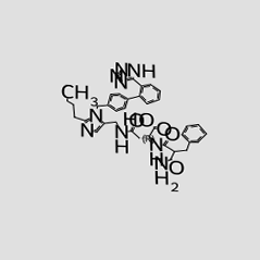 CCCCc1ncc(CNC(=O)C[C@@H](NC(=O)C(Cc2ccccc2)C(N)=O)C(=O)O)n1Cc1ccc(-c2ccccc2-c2nnn[nH]2)cc1